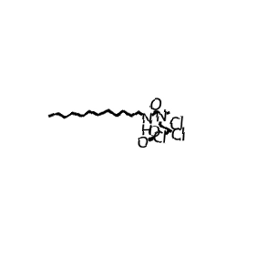 CCCCCCCCCCCCNC(=O)N(C)C(OC=O)C(Cl)(Cl)Cl